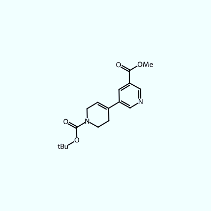 COC(=O)c1cncc(C2=CCN(C(=O)OC(C)(C)C)CC2)c1